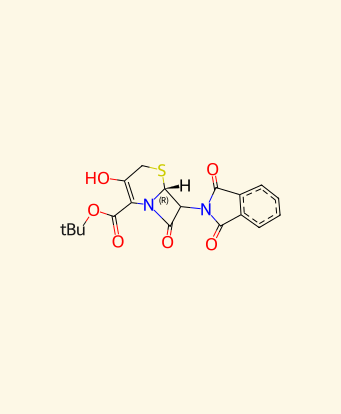 CC(C)(C)OC(=O)C1=C(O)CS[C@@H]2C(N3C(=O)c4ccccc4C3=O)C(=O)N12